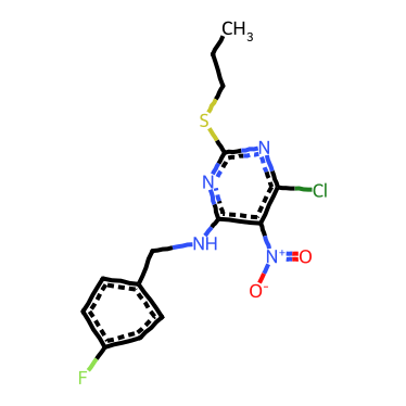 CCCSc1nc(Cl)c([N+](=O)[O-])c(NCc2ccc(F)cc2)n1